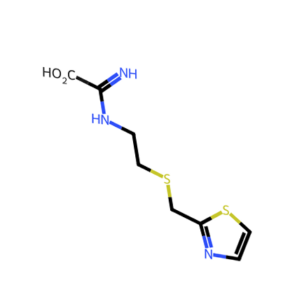 N=C(NCCSCc1nccs1)C(=O)O